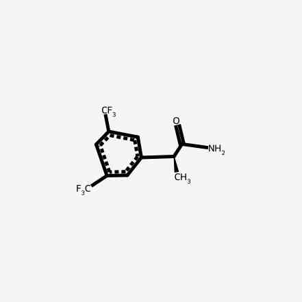 C[C@H](C(N)=O)c1cc(C(F)(F)F)cc(C(F)(F)F)c1